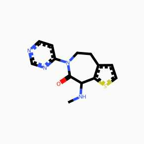 CNC1C(=O)N(c2ccncn2)CCc2ccsc21